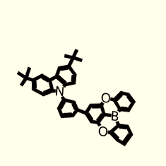 CC(C)(C)c1ccc2c(c1)c1cc(C(C)(C)C)ccc1n2-c1cccc(-c2cc3c4c(c2)Oc2ccccc2B4c2ccccc2O3)c1